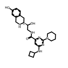 O=C(NCC(O)[C@@H]1Cc2ccc(O)cc2CN1)c1cc(NC2CCC2)nc(N2CCCCC2)n1